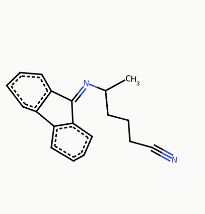 CC(CCCC#N)N=C1c2ccccc2-c2ccccc21